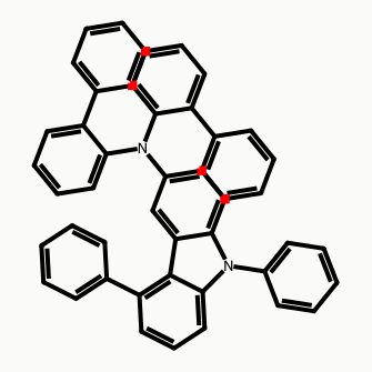 c1ccc(-c2ccccc2N(c2ccc3c(c2)c2c(-c4ccccc4)cccc2n3-c2ccccc2)c2ccccc2-c2ccccc2)cc1